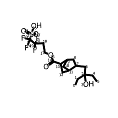 CCC(O)(CC)CC1CC2CC1CC2C(=O)OCCC(F)(F)C(F)(F)S(=O)(=O)O